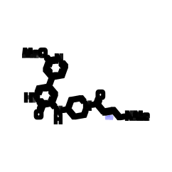 CNC/C=C/C(=O)N1CCC(Nc2cc(-c3ccnc(OC)c3)c[nH]c2=O)CC1